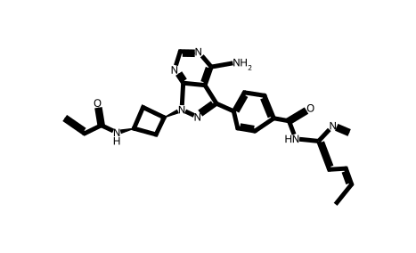 C=CC(=O)N[C@H]1C[C@@H](n2nc(-c3ccc(C(=O)N/C(=C/C=C\C)N=C)cc3)c3c(N)ncnc32)C1